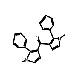 Cn1ccc(C(=O)c2ccn(C)c2-c2ccccc2)c1-c1ccccc1